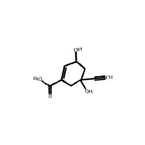 C#CC1(O)CC(C(=O)OC)=CC(O)C1